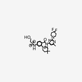 Cc1cc(NC(=O)c2ccc(NS(=O)(=O)CCO)cc2N2CCC(C)(C)CC2)nc(N2CCC(F)(F)CC2)n1